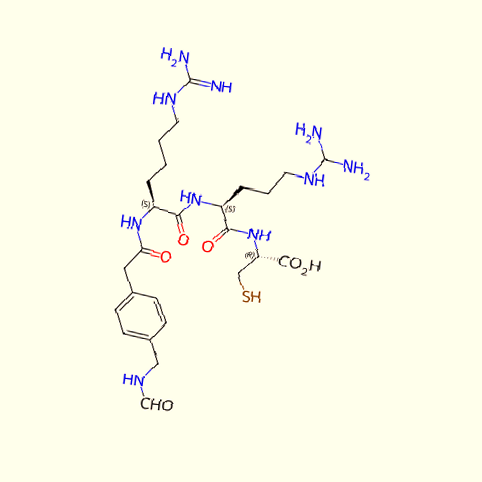 N=C(N)NCCCC[C@H](NC(=O)Cc1ccc(CNC=O)cc1)C(=O)N[C@@H](CCCNC(N)N)C(=O)N[C@@H](CS)C(=O)O